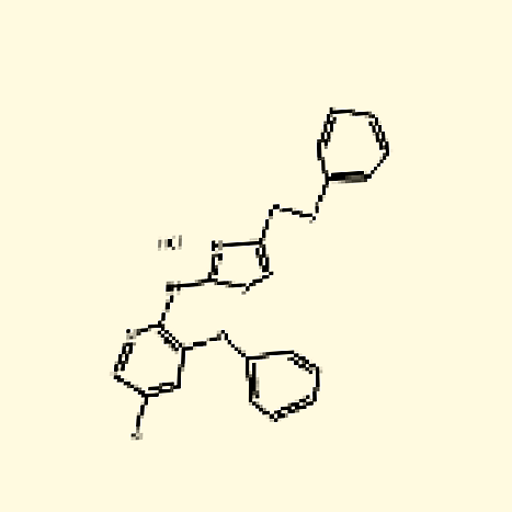 Brc1cnc(Nc2nc(CSc3ccccc3)cs2)c(Oc2ccccc2)c1.Cl